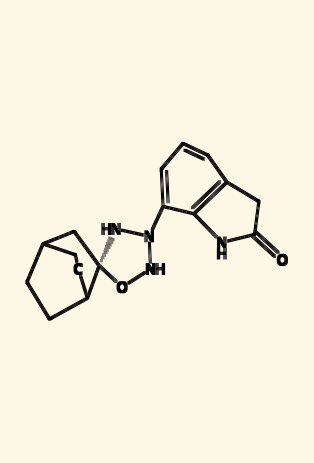 O=C1Cc2cccc(N3NO[C@@]4(CC5CCC4CC5)N3)c2N1